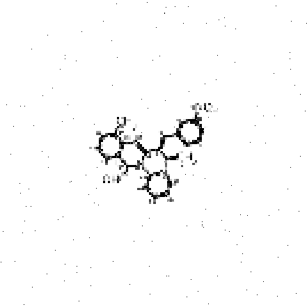 C=CC(=Cc1cccc([N+](=O)[O-])c1)C1=Cc2c(C)cccc2C(C=O)N1c1ccccn1